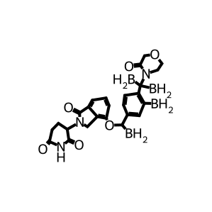 Bc1cc(C(B)Oc2cccc3c2CN(C2CCC(=O)NC2=O)C3=O)ccc1C(B)(B)N1CCOCC1=O